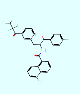 O=C(NC(Cc1cccc(C(=O)C(F)(F)C(F)F)c1)C(O)c1ccc(F)cc1)c1cccc2c(Cl)cccc12